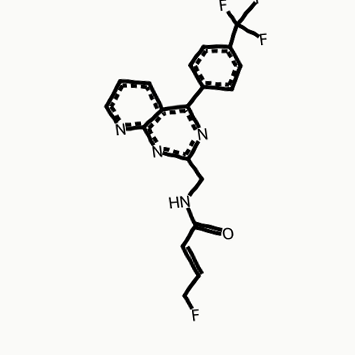 O=C(/C=C/CF)NCc1nc(-c2ccc(C(F)(F)F)cc2)c2cccnc2n1